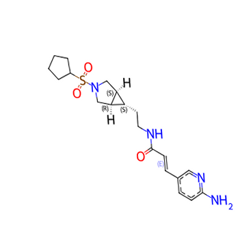 Nc1ccc(/C=C/C(=O)NCC[C@@H]2[C@H]3CN(S(=O)(=O)C4CCCC4)C[C@@H]23)cn1